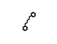 [CH](CCCCc1ccccc1)c1ccccc1